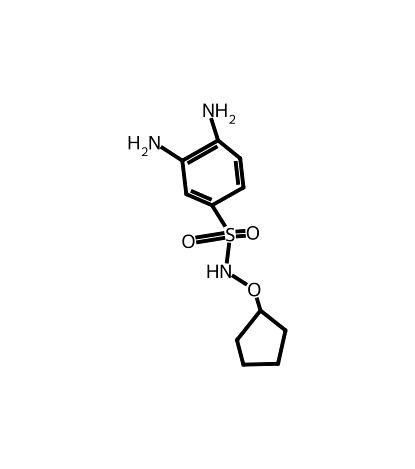 Nc1ccc(S(=O)(=O)NOC2CCCC2)cc1N